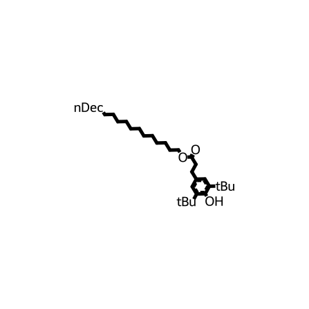 CCCCCCCCCCCCCCCCCCCCCCOC(=O)CCc1cc(C(C)(C)C)c(O)c(C(C)(C)C)c1